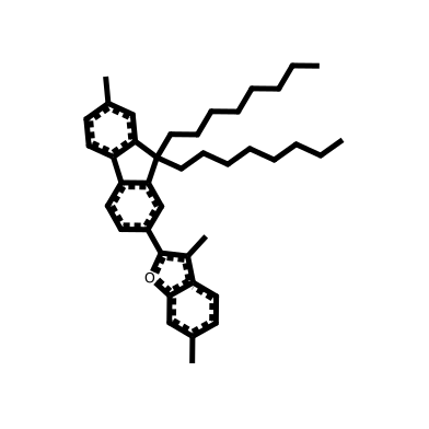 CCCCCCCCC1(CCCCCCCC)c2cc(C)ccc2-c2ccc(-c3oc4cc(C)ccc4c3C)cc21